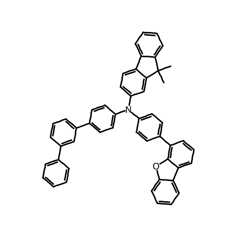 CC1(C)c2ccccc2-c2ccc(N(c3ccc(-c4cccc(-c5ccccc5)c4)cc3)c3ccc(-c4cccc5c4oc4ccccc45)cc3)cc21